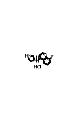 Cl.Fc1cccc2c(N[C@@H]3CCNC3)ccnc12